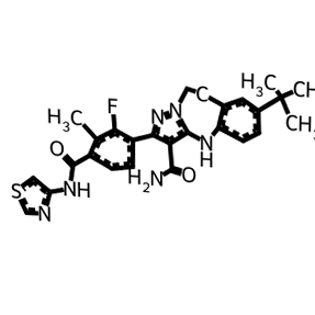 Cc1c(C(=O)Nc2cscn2)ccc(-c2nn3c(c2C(N)=O)Nc2ccc(C(C)(C)C)cc2CC3)c1F